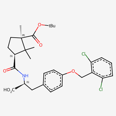 CC(C)(C)OC(=O)[C@]1(C)CC[C@H](C(=O)N[C@@H](Cc2ccc(OCc3c(Cl)cccc3Cl)cc2)C(=O)O)C1(C)C